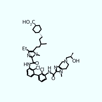 CCc1nc(C(=O)Nc2cccc(-c3cccc(NC(=O)c4nc5c(n4C)CCN(C[C@@H](C)O)C5)c3Cl)c2Cl)n(C)c1CCC(C)CC[C@H]1CC[C@H](C(=O)O)CC1